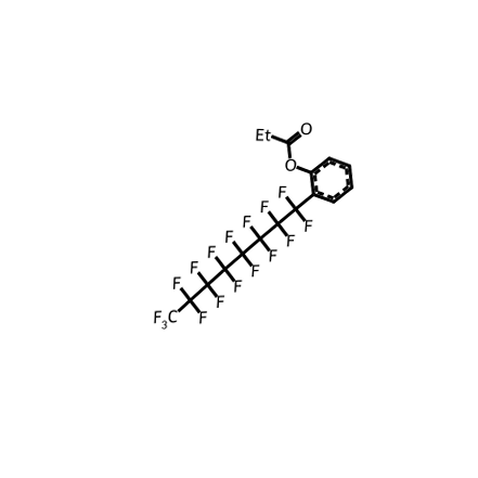 CCC(=O)Oc1ccccc1C(F)(F)C(F)(F)C(F)(F)C(F)(F)C(F)(F)C(F)(F)C(F)(F)C(F)(F)F